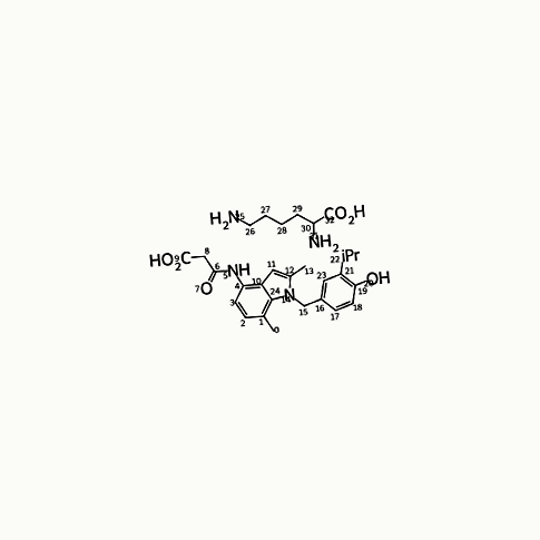 Cc1ccc(NC(=O)CC(=O)O)c2cc(C)n(Cc3ccc(O)c(C(C)C)c3)c12.NCCCCC(N)C(=O)O